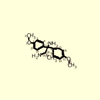 COc1ccc(C(N)(c2ccc(OC)cc2)[C@H](C)N)cc1